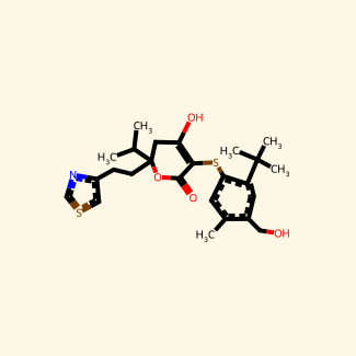 Cc1cc(SC2=C(O)CC(CCc3cscn3)(C(C)C)OC2=O)c(C(C)(C)C)cc1CO